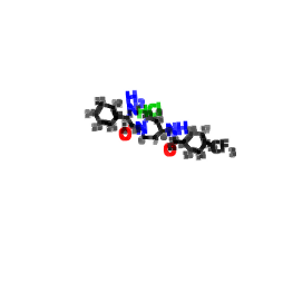 Cl.NC(C(=O)N1CCC(NC(=O)c2ccc(C(F)(F)F)cc2)CC1)c1ccccc1